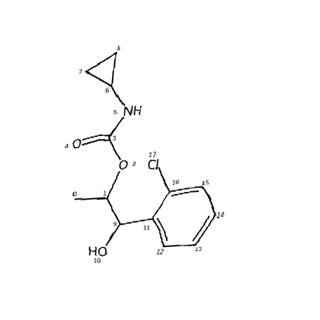 CC(OC(=O)NC1CC1)C(O)c1ccccc1Cl